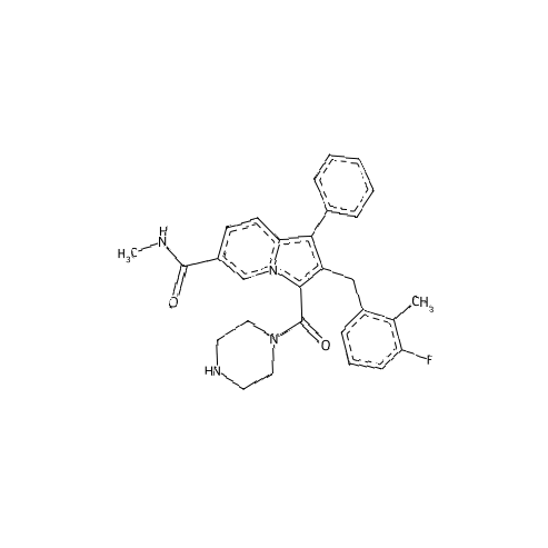 CNC(=O)c1ccc2c(-c3ccccc3)c(Cc3cccc(F)c3C)c(C(=O)N3CCNCC3)n2c1